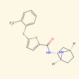 O=C(N[C@@H]1C[C@H]2CC[C@@H]1N2)c1ccc(Sc2ccccc2C(F)(F)F)s1